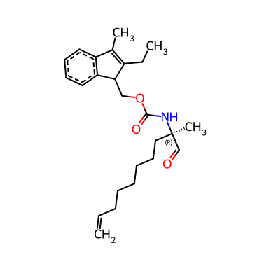 C=CCCCCCC[C@](C)(C=O)NC(=O)OCC1C(CC)=C(C)c2ccccc21